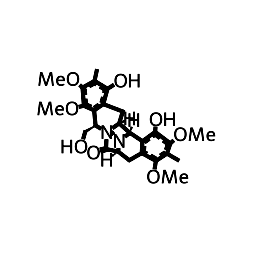 COc1c(C)c(OC)c2c(c1O)[C@@H]1[C@@H]3Cc4c(O)c(C)c(OC)c(OC)c4[C@H](CO)N3C(=O)[C@H](C2)N1C